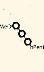 CCCCC[C@H]1CC[C@H](C2CCC([C@H]3CCC[C@@H](OC)C3)CC2)CC1